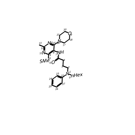 CCCCCCN(CCCC(=O)Nc1c(SC)nc(C)nc1N1CCOCC1)c1ccccc1